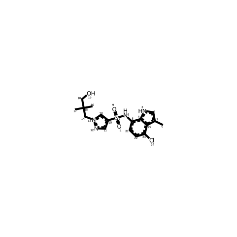 Cc1c[nH]c2c(NS(=O)(=O)c3cnn(CC(C)(C)CO)c3)ccc(Cl)c12